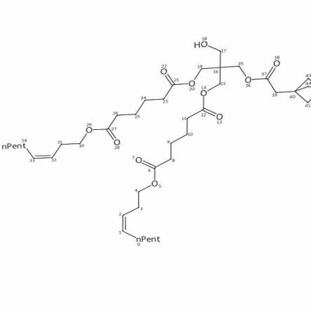 CCCCC/C=C\CCOC(=O)CCCCC(=O)OCC(CO)(COC(=O)CCCCC(=O)OCC/C=C\CCCCC)COC(=O)CC12CC(C1)C2